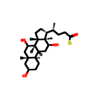 C[C@H](CCC(=O)S)[C@H]1CC[C@H]2[C@@H]3[C@H](O)C[C@@H]4C[C@H](O)CC[C@]4(C)[C@H]3C[C@H](O)[C@]12C